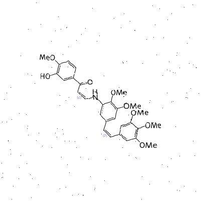 COc1ccc(C(=O)/C=C\Nc2cc(/C=C\c3cc(OC)c(OC)c(OC)c3)cc(OC)c2OC)cc1O